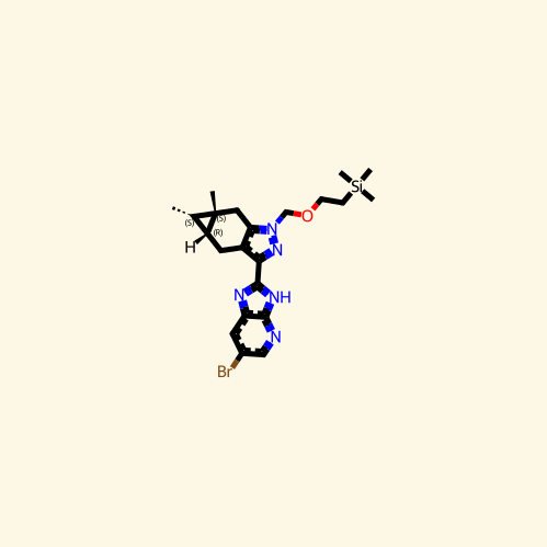 C[C@H]1[C@H]2Cc3c(-c4nc5cc(Br)cnc5[nH]4)nn(COCC[Si](C)(C)C)c3C[C@]21C